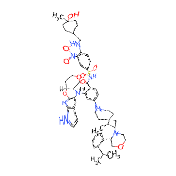 CC(C)c1ccccc1[C@H]1COCCN1[C@H]1CC2(CCN(c3ccc(C(=O)NS(=O)(=O)c4ccc(NCC5CCC(C)(O)CC5)c([N+](=O)[O-])c4)c(N4c5cc6cc[nH]c6nc5O[C@@H]5CCOC[C@H]54)c3)CC2)[C@@H]1C